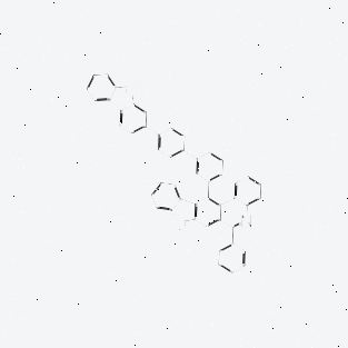 c1ccc(-c2nc3ccccc3c3c(-c4cccc(-c5ccc(-c6ccc7c(c6)oc6ccccc67)cc5)c4)c4c(cc23)oc2ccccc24)cc1